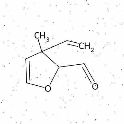 C=CC1(C)C=COC1C=O